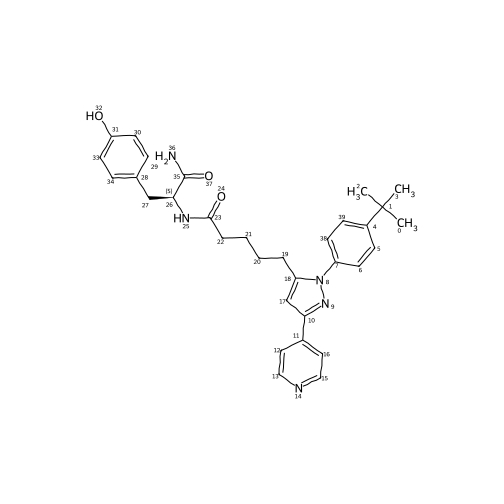 CC(C)(C)c1ccc(-n2nc(-c3ccncc3)cc2CCCCC(=O)N[C@@H](Cc2ccc(O)cc2)C(N)=O)cc1